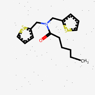 [CH2]CCCCC(=O)N(Cc1cccs1)Cc1cccs1